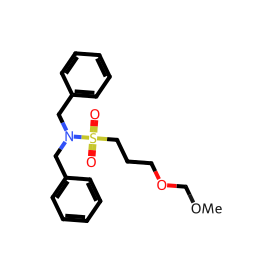 COCOCCCS(=O)(=O)N(Cc1ccccc1)Cc1ccccc1